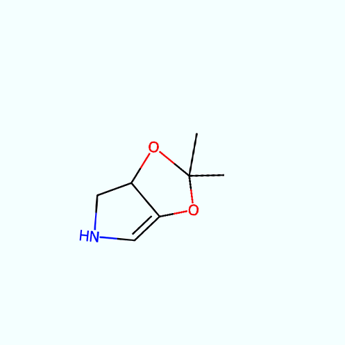 CC1(C)OC2=CNCC2O1